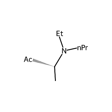 CCCN(CC)[C@H](C)C(C)=O